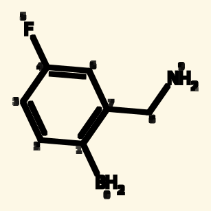 Bc1ccc(F)cc1CN